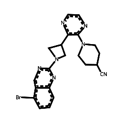 N#CC1CCN(c2nccnc2C2CN(c3ncc4c(Br)cccc4n3)C2)CC1